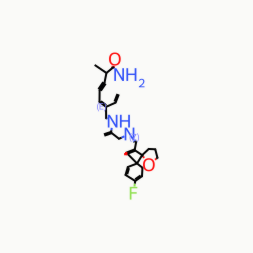 C=C/C(=C\C#CC(C)C(N)=O)CNC(=C)C/N=C\C(=C)C1(C2(C)C=CC(F)=CC2)CCCO1